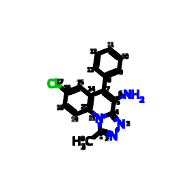 Cc1nnc2c(N)c(-c3ccccc3)c3cc(Cl)ccc3n12